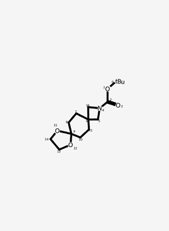 CC(C)(C)OC(=O)N1CC2(CCC3(CC2)OCCO3)C1